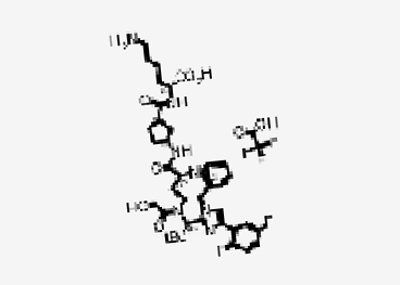 CC(C)(C)[C@H](c1nc(-c2cc(F)ccc2F)cn1Cc1ccccc1)N(CC[C@H](N)C(=O)N[C@H]1CC[C@@H](C(=O)N[C@@H](CCCCN)C(=O)O)C1)C(=O)CO.O=C(O)C(F)(F)F